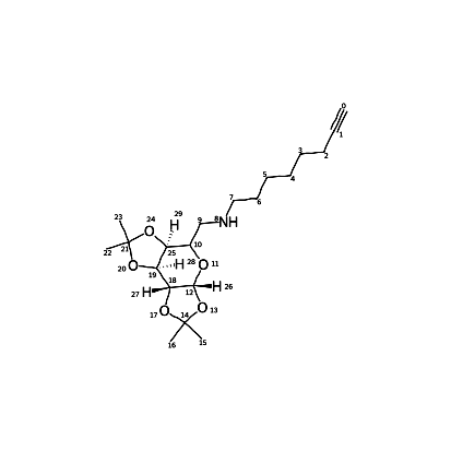 C#CCCCCCCNCC1O[C@@H]2OC(C)(C)O[C@@H]2[C@H]2OC(C)(C)O[C@@H]12